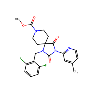 CC(C)(C)OC(=O)N1CCC2(CC1)C(=O)N(c1cc(C(F)(F)F)ccn1)C(=O)N2Cc1c(F)cccc1F